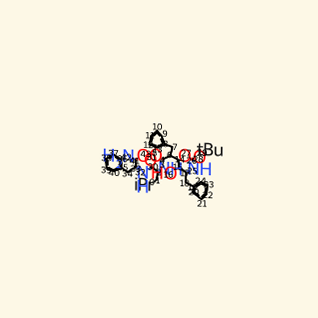 CC(C)CC(NC(=O)C(Cc1ccccc1)CC(O)C(Cc1ccccc1)NC(=O)OC(C)(C)C)C(=O)NC(Cc1ccccc1)C(N)=O